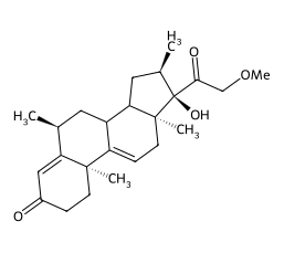 COCC(=O)[C@@]1(O)[C@H](C)CC2C3C[C@H](C)C4=CC(=O)CC[C@]4(C)C3=CC[C@@]21C